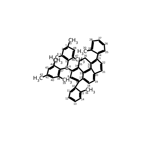 Cc1cc(C)c(B(c2cc(-c3ccccc3C)c3ccc4ccc(-c5ccccc5C)c5c4c3c2CC5)c2c(C)cc(C)cc2C)c(C)c1